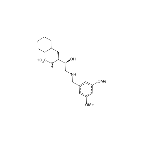 COc1cc(CNC[C@H](O)[C@H](CC2CCCCC2)NC(=O)O)cc(OC)c1